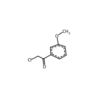 COc1cccc(C(=O)CCl)c1